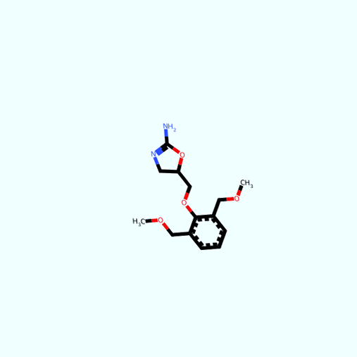 COCc1cccc(COC)c1OCC1CN=C(N)O1